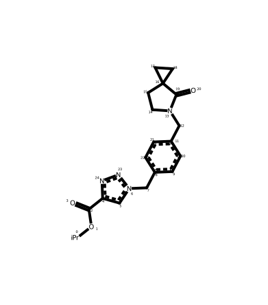 CC(C)OC(=O)c1cn(Cc2ccc(CN3CCC4(CC4)C3=O)cc2)nn1